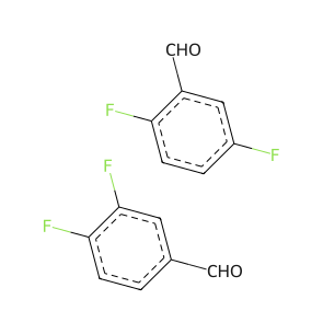 O=Cc1cc(F)ccc1F.O=Cc1ccc(F)c(F)c1